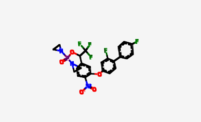 O=[N+]([O-])c1ccc(C(OP(=O)(N2CC2)N2CC2)C(F)(F)F)cc1Oc1ccc(-c2ccc(F)cc2)c(F)c1